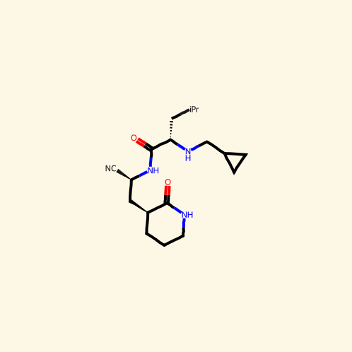 CC(C)C[C@H](NCC1CC1)C(=O)N[C@H](C#N)C[C@@H]1CCCNC1=O